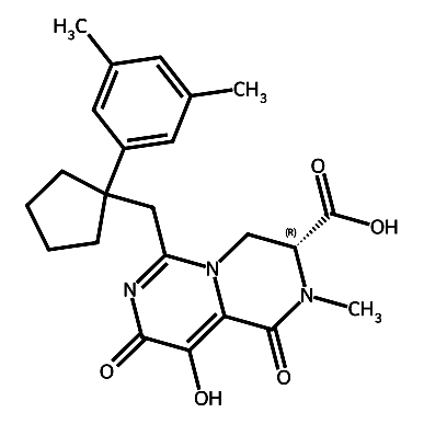 Cc1cc(C)cc(C2(Cc3nc(=O)c(O)c4n3C[C@H](C(=O)O)N(C)C4=O)CCCC2)c1